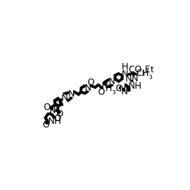 CCOC(=O)c1c(C)nc(Nc2cnn(C)c2)nc1NC1CCC(N2CCN(C(=O)CCC(=O)N3CCC(CCN4CCN(c5ccc6c(c5)C(=O)N(C5CCC(=O)NC5=O)C6=O)CC4)CC3)CC2)CC1